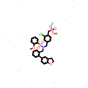 COc1ccccc1S(=O)(=O)N(Cc1ccc(CP(=O)(OF)OF)c(Cl)c1)Cc1ccccc1-c1ccc2c(c1)CCO2